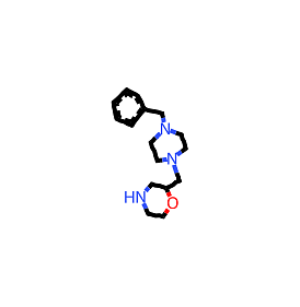 c1ccc(CN2CCN(CC3CNCCO3)CC2)cc1